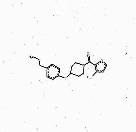 Cc1ccsc1C(=O)N1CCC(Sc2ccc(CCN)cc2)CC1